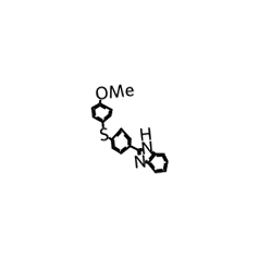 COc1ccc(Sc2ccc(-c3nc4ccccc4[nH]3)cc2)cc1